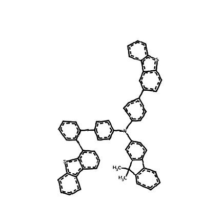 CC1(C)c2ccccc2-c2ccc(N(c3ccc(-c4ccc5sc6ccccc6c5c4)cc3)c3ccc(-c4ccccc4-c4cccc5c4sc4ccccc45)cc3)cc21